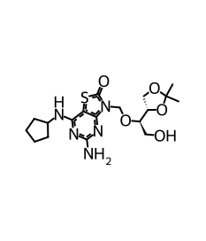 CC1(C)OC[C@@H]([C@@H](CO)OCn2c(=O)sc3c(NC4CCCC4)nc(N)nc32)O1